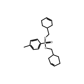 Cc1ccc(P(=O)(OCC2CC=CCC2)OCC2CC=CCC2)cc1